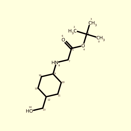 CC(C)(C)OC(=O)CNC1CCC(CO)CC1